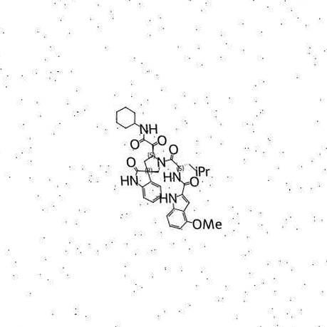 COc1cccc2[nH]c(C(=O)N[C@@H](CC(C)C)C(=O)N3C[C@]4(C[C@H]3C(=O)C(=O)NC3CCCCC3)C(=O)Nc3ccccc34)cc12